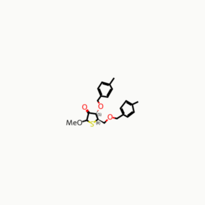 COC1S[C@H](COCc2ccc(C)cc2)[C@@H](OCc2ccc(C)cc2)C1=O